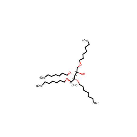 CCCCCCCCCCCCCCCCOC[C@@H](O)[C@@H](OCCCCCCCCCCCCCCCC)[C@H](OCCCCCCCCCCCCCCCC)[C@H](C=O)OCCCCCCCCCCCCCCCC